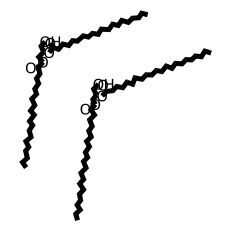 CCCCCCCCCCCCCCCCCCCC(=O)OCC(CO)OC(=O)CCCCCCCCCCCCCCCCCCC.CCCCCCCCCCCCCCCCCCCCCC(=O)OCC(CO)OC(=O)CCCCCCCCCCCCCCCCCCCCC